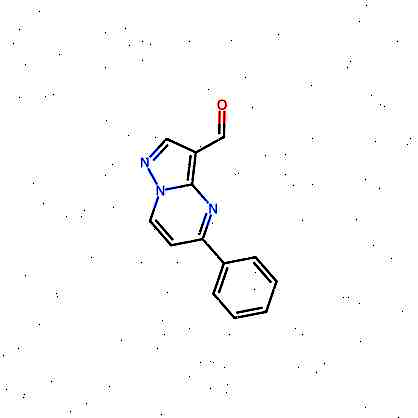 O=Cc1cnn2ccc(-c3ccccc3)nc12